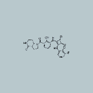 O=C1NCCC2C1CCN2C(=O)c1cccc(Nc2c(Nc3cccc(F)c3Cl)c(=O)c2=O)c1O